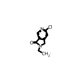 [CH2]CN1Cc2cc(Cl)ncc2C1=O